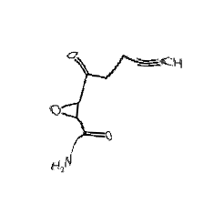 C#CCCC(=O)C1OC1C(N)=O